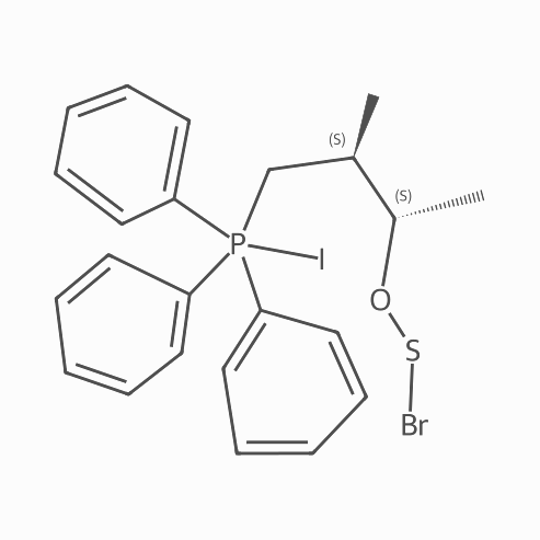 C[C@H](CP(I)(c1ccccc1)(c1ccccc1)c1ccccc1)[C@H](C)OSBr